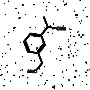 COCc1cccc(C(C)OC)c1